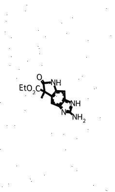 CCOC(=O)C1(C)C(=O)Nc2cc3[nH]c(N)nc3cc21